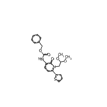 COC(Cn1c(-c2cccs2)ccc(NC(=O)OCc2ccccc2)c1=O)OC